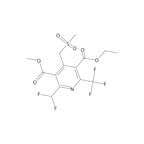 CCOC(=O)c1c(C(F)(F)F)nc(C(F)F)c(C(=O)OC)c1CS(C)(=O)=O